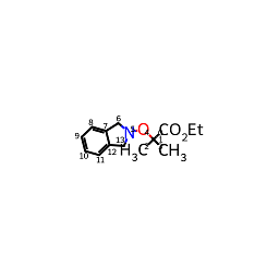 CCOC(=O)C(C)(C)ON1Cc2ccccc2C1